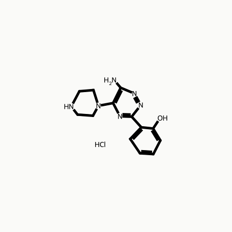 Cl.Nc1nnc(-c2ccccc2O)nc1N1CCNCC1